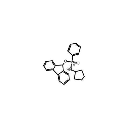 O=[P@](NC1CCCC1)(OC1c2ccccc2-c2ccccc21)c1ccccc1